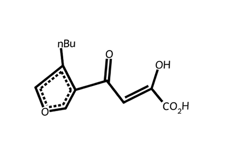 CCCCc1cocc1C(=O)C=C(O)C(=O)O